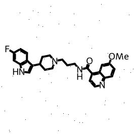 COc1ccc2nccc(C(=O)NCCCN3CCC(c4c[nH]c5cc(F)ccc45)CC3)c2c1